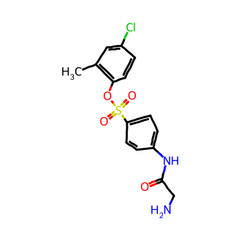 Cc1cc(Cl)ccc1OS(=O)(=O)c1ccc(NC(=O)CN)cc1